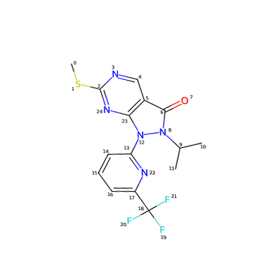 CSc1ncc2c(=O)n(C(C)C)n(-c3cccc(C(F)(F)F)n3)c2n1